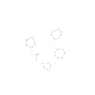 Cc1nc(Nc2ncc(CC(=O)Nc3cccc(F)c3)s2)nc(Oc2ccc(O)cc2)n1